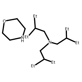 C1COCCN1.CCC(CC)CN(CC(CC)CC)CC(CC)CC